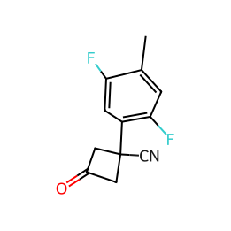 Cc1cc(F)c(C2(C#N)CC(=O)C2)cc1F